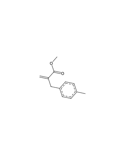 C=C(Cc1ccc(C)cc1)C(=O)OC